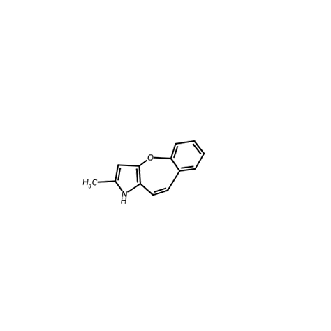 Cc1cc2c([nH]1)C=Cc1ccccc1O2